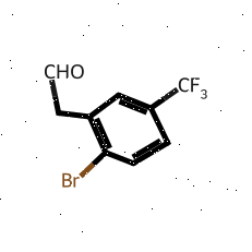 O=CCc1cc(C(F)(F)F)ccc1Br